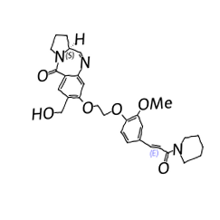 COc1cc(/C=C/C(=O)N2CCCCC2)ccc1OCCOc1cc2c(cc1CO)C(=O)N1CCC[C@H]1C=N2